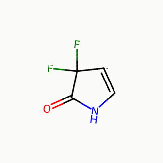 O=C1NC=[C]C1(F)F